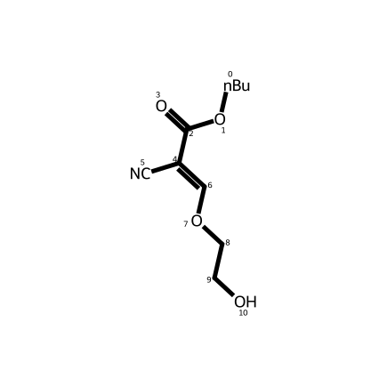 CCCCOC(=O)C(C#N)=COCCO